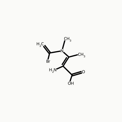 C=C(Br)N(C)/C(C)=C(\N)C(=O)O